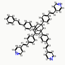 C(=Cc1ccc(C23CC4(c5ccc(C=Cc6ccncc6)cc5)CC(c5ccc(C=Cc6ccncc6)cc5)(C2)CC(c2ccc(C=Cc5ccncc5)cc2)(C3)C4)cc1)c1ccccc1